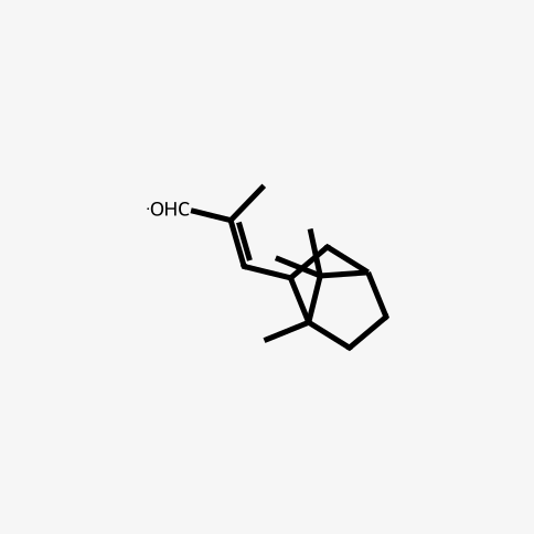 CC([C]=O)=CC1CC2CCC1(C)C2(C)C